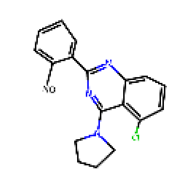 O=Nc1ccccc1-c1nc(N2CCCC2)c2c(Cl)cccc2n1